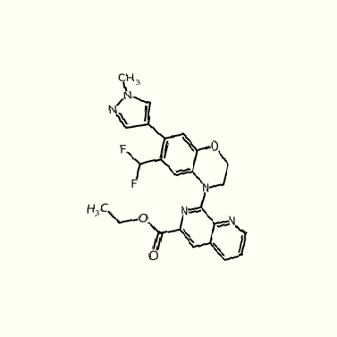 CCOC(=O)c1cc2cccnc2c(N2CCOc3cc(-c4cnn(C)c4)c(C(F)F)cc32)n1